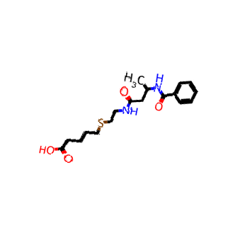 CC(CC(=O)NCCSCCCCC(=O)O)NC(=O)c1ccccc1